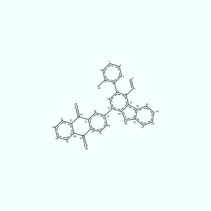 C=Cc1c(-c2ccccc2C)cc(-c2ccc3c(c2)C(=O)c2ccccc2C3=O)c2oc3ccccc3c12